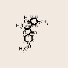 CON1CCC2(CC1)OC(C)=C(c1cc(C)ccc1C)C2=O